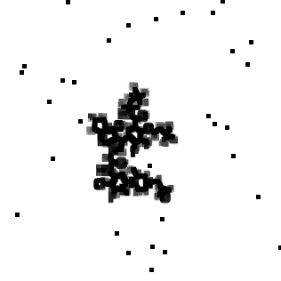 CC1CN(CC2COC2)CCN1c1cc(NC(=O)Cn2cc(-c3cc(C(=O)NC(C)(C)CC(C)(C)C)c(OCCS(C)(C)C)c(F)c3F)c3c(=O)n4c(nc32)CCC4)c(Cl)c(F)n1